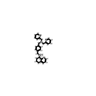 c1ccc(CN(Cc2ccc(CNC3CCCc4cccnc43)cc2)Cc2ccccn2)nc1